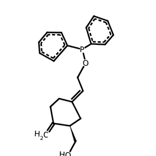 C=C1CC/C(=C\COP(c2ccccc2)c2ccccc2)C[C@H]1CO